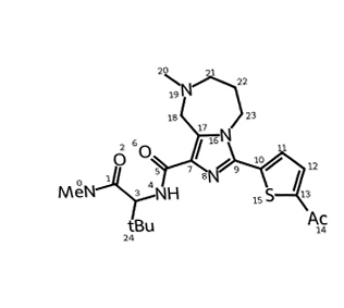 CNC(=O)C(NC(=O)c1nc(-c2ccc(C(C)=O)s2)n2c1CN(C)CCC2)C(C)(C)C